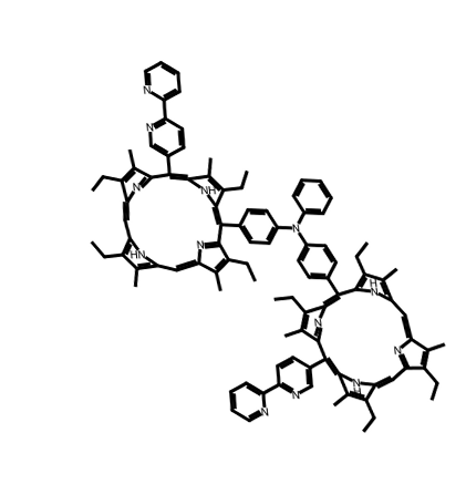 CCC1=C(C)c2cc3[nH]c(c(CC)c3C)c(-c3ccc(N(c4ccccc4)c4ccc(-c5c6nc(cc7[nH]c(cc8nc(c(-c9ccc(-c%10ccccn%10)nc9)c9[nH]c5c(CC)c9C)C(C)=C8CC)c(CC)c7C)C(C)=C6CC)cc4)cc3)c3nc(c(-c4ccc(-c5ccccn5)nc4)c4[nH]c(cc1n2)c(CC)c4C)C(C)=C3CC